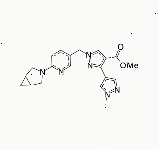 COC(=O)c1cn(Cc2ccc(N3CC4CC4C3)nc2)nc1-c1cnn(C)c1